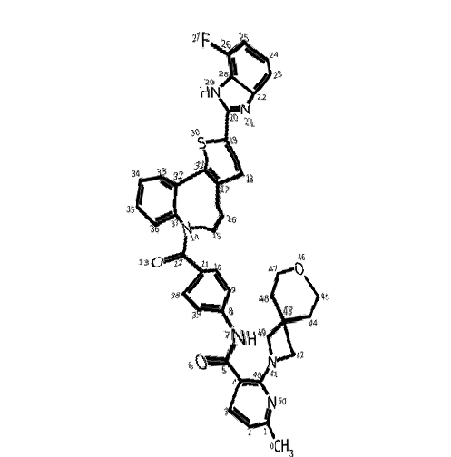 Cc1ccc(C(=O)Nc2ccc(C(=O)N3CCc4cc(-c5nc6cccc(F)c6[nH]5)sc4-c4ccccc43)cc2)c(N2CC3(CCOCC3)C2)n1